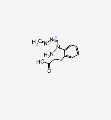 C=N/N=C\N(N)c1ccccc1CCC(=O)O